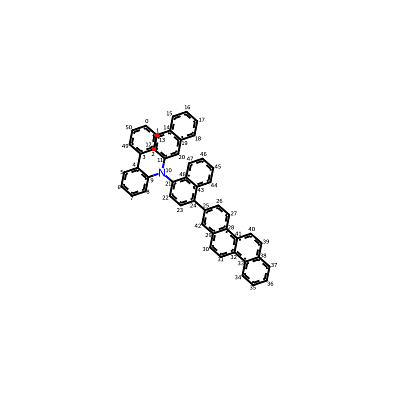 c1ccc(-c2ccccc2N(c2ccc3ccccc3c2)c2ccc(-c3ccc4c(ccc5c6ccccc6ccc45)c3)c3ccccc23)cc1